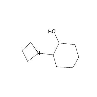 OC1CCCCC1N1CCC1